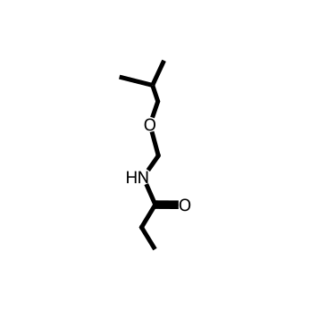 CCC(=O)NCOCC(C)C